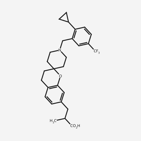 CC(Cc1ccc2c(c1)OC1(CC2)CCN(Cc2cc(C(F)(F)F)ccc2C2CC2)CC1)C(=O)O